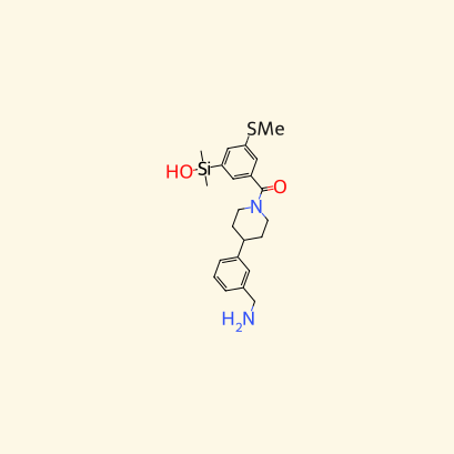 CSc1cc(C(=O)N2CCC(c3cccc(CN)c3)CC2)cc([Si](C)(C)O)c1